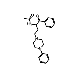 CC(=O)NC(CCN1CCN(c2ccccc2)CC1)C(=O)c1ccccc1